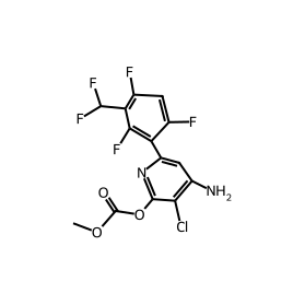 COC(=O)Oc1nc(-c2c(F)cc(F)c(C(F)F)c2F)cc(N)c1Cl